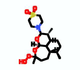 C[C@@H]1[C@@H]2CC[C@@H](C)[C@@H]3CCC(C)(OO)O[C@@H](O[C@H]1N1CCS(=O)(=O)CC1)C23